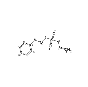 C=CCS(=O)(=O)COCc1ccccc1